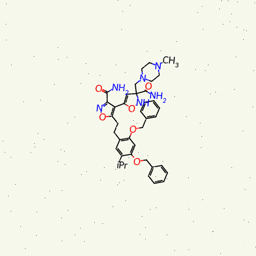 CC(C)c1cc(CCc2onc(C(N)=O)c2C2=CC(CN3CCN(C)CC3)(C(N)=O)NO2)c(OCc2ccccc2)cc1OCc1ccccc1